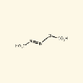 O=C(O)N=NOC(=O)O